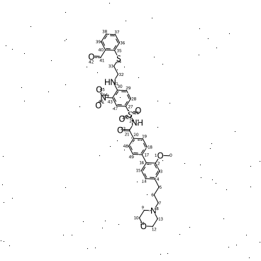 COc1cc(CCCN2CCOCC2)ccc1-c1ccc(C(=O)NS(=O)(=O)c2ccc(NCCSc3ccccc3C=O)c([N+](=O)[O-])c2)cc1